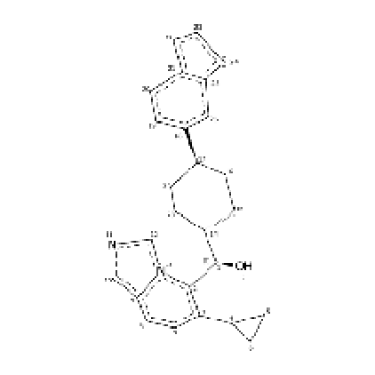 O[C@@H](c1c(C2CC2)ccc2cncn12)[C@H]1CC[C@H](c2ccc3ccsc3c2)CC1